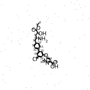 CCOC(=O)[C@H](O)C[C@H](N)Cc1ccc(-c2cc(Cl)cc(Oc3cc(C(=O)O)nn3C)c2)cc1